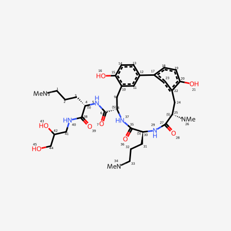 CNCCC[C@H](NC(=O)[C@@H]1Cc2cc(ccc2O)-c2ccc(O)c(c2)C[C@H](NC)C(=O)N[C@@H](CCCNC)C(=O)N1)C(=O)NCC(O)CO